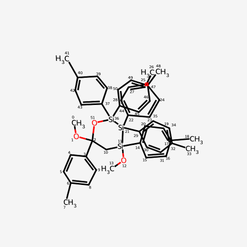 COC1(c2ccc(C)cc2)C[Si](OC)(c2ccc(C)cc2)[Si](c2ccc(C)cc2)(c2ccc(C)cc2)[Si](c2ccc(C)cc2)(c2ccc(C)cc2)O1